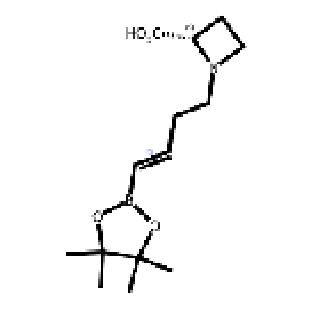 CC1(C)OB(/C=C/CCN2CC[C@H]2C(=O)O)OC1(C)C